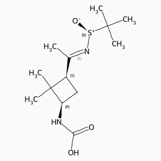 C/C(=N\[S@@+]([O-])C(C)(C)C)[C@H]1C[C@@H](NC(=O)O)C1(C)C